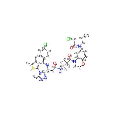 Cc1sc2c(c1C)C(c1ccc(Cl)cc1)=N[C@@H](CC(=O)NC(C)(C)C(C)(C)C(=O)N1CCOc3ccc(N(CCC#N)C(=O)CCl)cc31)c1nnc(C)n1-2